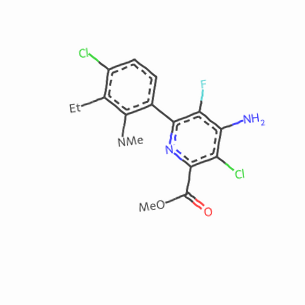 CCc1c(Cl)ccc(-c2nc(C(=O)OC)c(Cl)c(N)c2F)c1NC